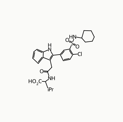 CC(C)C(NC(=O)Cc1c(-c2ccc(Cl)c(S(=O)(=O)NC3CCCCC3)c2)[nH]c2ccccc12)C(=O)O